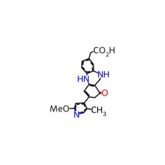 COc1cc(C2=CC3=C(CNc4cc(CC(=O)O)ccc4N3)C(=O)C2)c(C)cn1